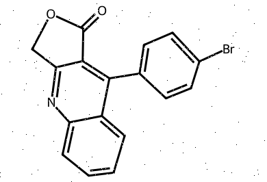 O=C1OCc2nc3ccccc3c(-c3ccc(Br)cc3)c21